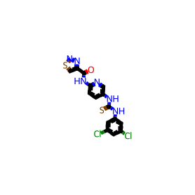 O=C(Nc1ccc(NC(=S)Nc2cc(Cl)cc(Cl)c2)cn1)c1csnn1